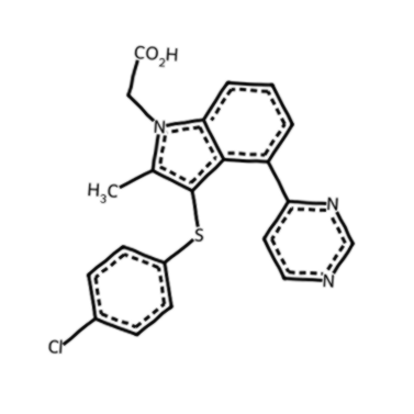 Cc1c(Sc2ccc(Cl)cc2)c2c(-c3ccncn3)cccc2n1CC(=O)O